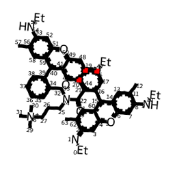 CCN=c1cc2oc3cc(NCC)c(C)cc3c(-c3ccccc3C(=O)N(CCC[N+](C)(C)C)C(=O)c3ccccc3-c3c4cc(C)c(=NCC)cc-4oc4cc(NCC)c(C)cc34)c-2cc1C